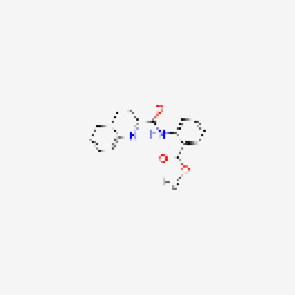 COC(=O)c1ccccc1NC(=O)c1ccc2ccccc2n1